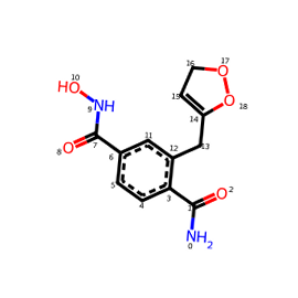 NC(=O)c1ccc(C(=O)NO)cc1CC1=CCOO1